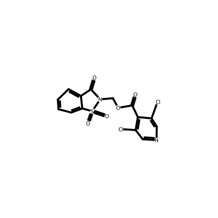 O=C(OCN1C(=O)c2ccccc2S1(=O)=O)c1c(Cl)cncc1Cl